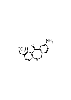 Nc1ccc2c(c1)C(=O)c1cc(CC(=O)O)ccc1SC2